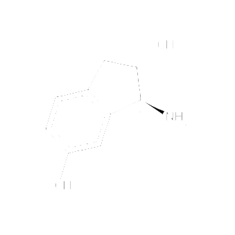 Cc1ccc2c(c1)[C@H](N)[C@@H](C)C2